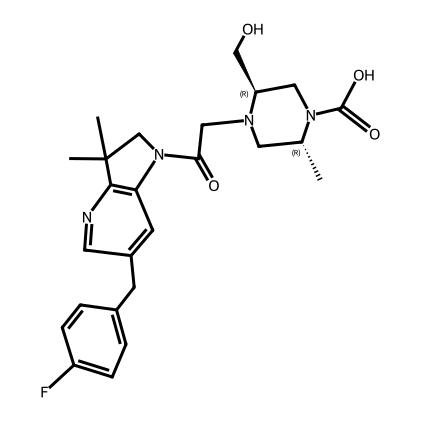 C[C@@H]1CN(CC(=O)N2CC(C)(C)c3ncc(Cc4ccc(F)cc4)cc32)[C@@H](CO)CN1C(=O)O